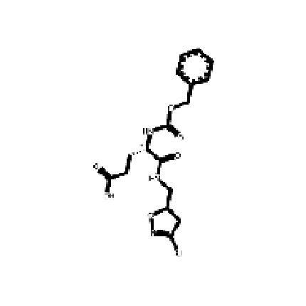 O=C(O)CC[C@H](NC(=O)OCc1ccccc1)C(=O)NCC1CC(Cl)=NO1